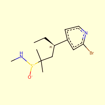 CC[C@H](CC(C)(C)[S+]([O-])NC)c1ccnc(Br)c1